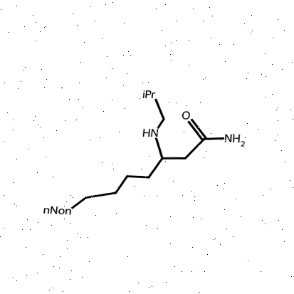 CCCCCCCCCCCCCC(CC(N)=O)NCC(C)C